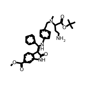 COC(=O)c1ccc2c(c1)NC(=O)/C2=C(\Nc1ccc(CN(C)C(CCN)C(=O)OC(C)(C)C)cc1)c1ccccc1